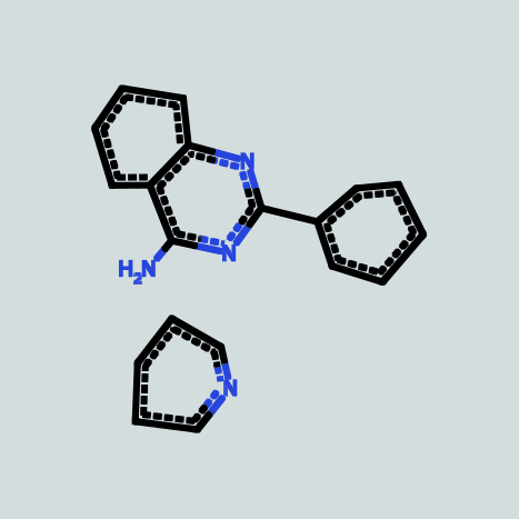 Nc1nc(-c2ccccc2)nc2ccccc12.c1ccncc1